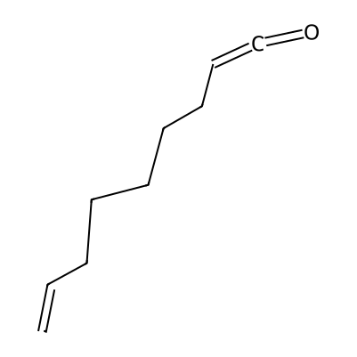 [CH]=CCCCCCC=C=O